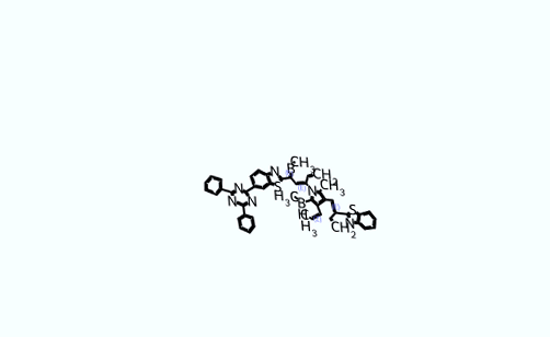 C=C/C(=C\c1c(/C=C\C)c(BC)n(/C(C=C)=C/C(=B\C)c2nc3ccc(-c4nc(-c5ccccc5)nc(-c5ccccc5)n4)cc3s2)c1C)c1nc2ccccc2s1